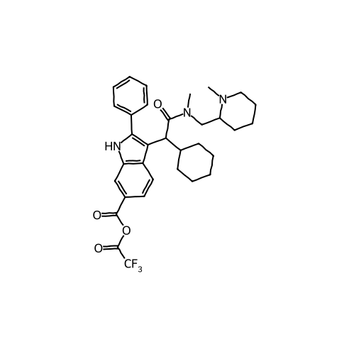 CN(CC1CCCCN1C)C(=O)C(c1c(-c2ccccc2)[nH]c2cc(C(=O)OC(=O)C(F)(F)F)ccc12)C1CCCCC1